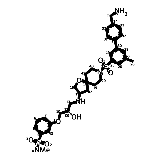 CNS(=O)(=O)c1cccc(OC[C@@H](O)CNC2COC3(CCN(S(=O)(=O)c4cc(C)cc(-c5ccc(CN)cc5)c4)CC3)C2)c1